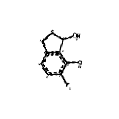 OC1CCc2ccc(F)c(Cl)c21